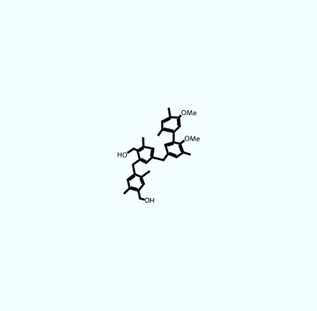 COc1cc(-c2cc(Cc3cc(C)c(CO)c(Cc4cc(C)c(CO)cc4C)c3)cc(C)c2OC)c(C)cc1C